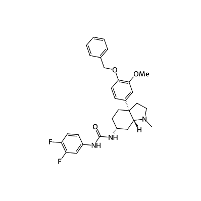 COc1cc([C@@]23CC[C@@H](NC(=O)Nc4ccc(F)c(F)c4)C[C@H]2N(C)CC3)ccc1OCc1ccccc1